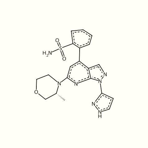 C[C@@H]1COCCN1c1cc(-c2ccccc2S(N)(=O)=O)c2cnn(-c3cc[nH]n3)c2n1